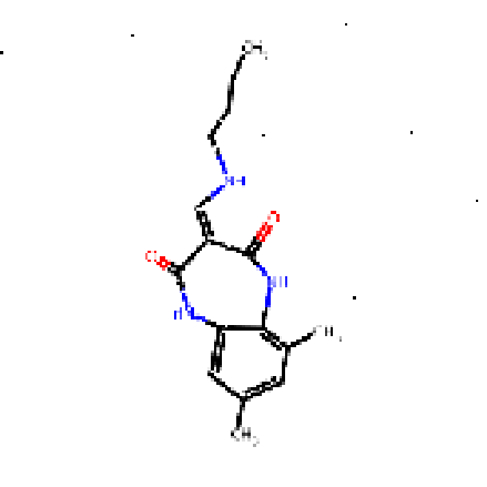 CCCCNC=C1C(=O)Nc2cc(C)cc(C)c2NC1=O